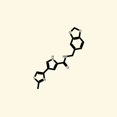 Cc1nc(-c2c[nH]c(C(=O)NCc3ccc4c(c3)OCO4)c2)cs1